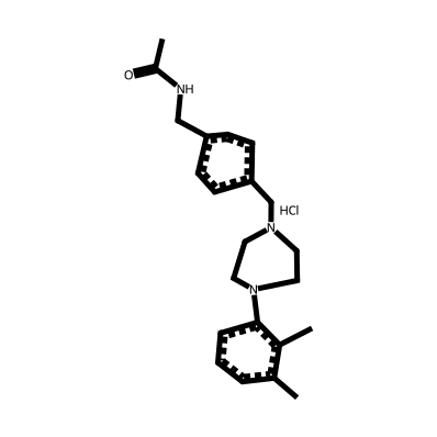 CC(=O)NCc1ccc(CN2CCN(c3cccc(C)c3C)CC2)cc1.Cl